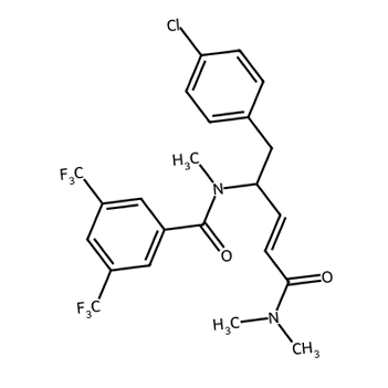 CN(C)C(=O)C=CC(Cc1ccc(Cl)cc1)N(C)C(=O)c1cc(C(F)(F)F)cc(C(F)(F)F)c1